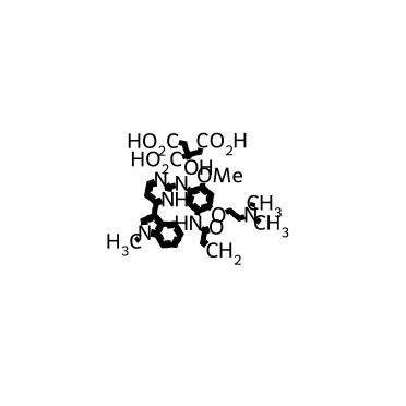 C=CC(=O)Nc1cc(Nc2nccc(-c3cn(C)c4ccccc34)n2)c(OC)cc1OCCN(C)C.O=C(O)CC(O)(CC(=O)O)C(=O)O